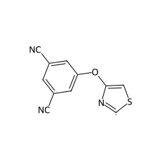 N#Cc1cc(C#N)cc(Oc2cs[c]n2)c1